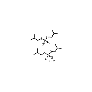 CC(C)COP([O-])(=S)SCC(C)C.CC(C)COP([O-])(=S)SCC(C)C.[Cu+2]